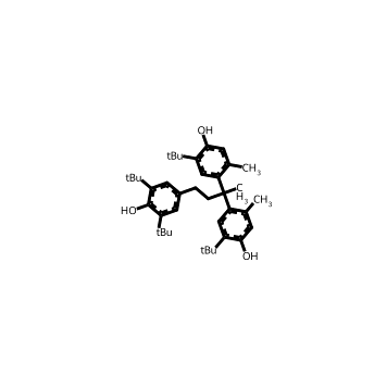 Cc1cc(O)c(C(C)(C)C)cc1C(C)(CCc1cc(C(C)(C)C)c(O)c(C(C)(C)C)c1)c1cc(C(C)(C)C)c(O)cc1C